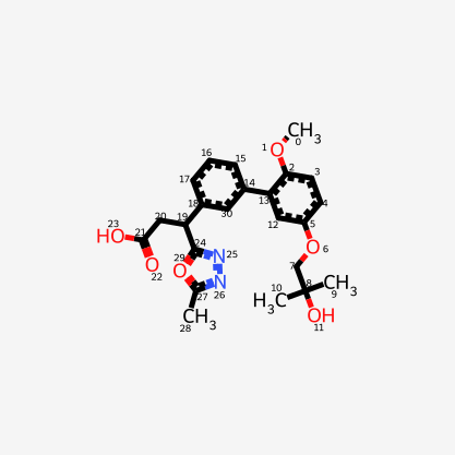 COc1ccc(OCC(C)(C)O)cc1-c1cccc(C(CC(=O)O)c2nnc(C)o2)c1